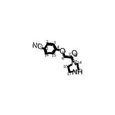 N#Cc1ccc(OCC(=O)N2CCNCC2)cc1